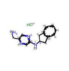 Cl.NCc1cnc(NC2Cc3ccccc3C2)cn1